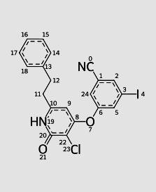 N#Cc1cc(I)cc(Oc2cc(CCc3ccccc3)[nH]c(=O)c2Cl)c1